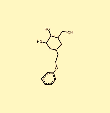 OCC1CN(CCOc2ccccc2)CC(O)C1O